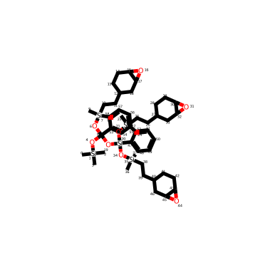 C[Si](C)(C)OC(O[Si](C)(C)CCC1CCC2OC2C1)(O[Si](O[Si](C)(C)CCC1CCC2OC2C1)(O[Si](C)(C)CCC1CCC2OC2C1)c1ccccc1)c1ccccc1